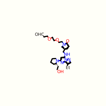 CCc1cnn2c(NCc3ccc(=O)n(CCOCCOCCC=O)c3)cc(N3CCCC[C@H]3CCO)nc12